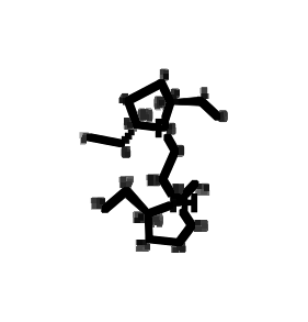 CC[C@@H]1CC[C@@H](CC)P1CC[PH]1(C)CCC[C@H]1CC